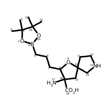 CC1(C)OB(CCCC2OC3(CCNC3)CC2(N)C(=O)O)OC1(C)C